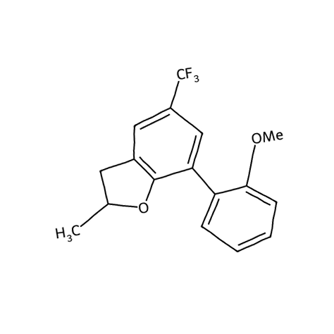 COc1ccccc1-c1cc(C(F)(F)F)cc2c1OC(C)C2